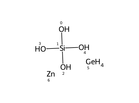 O[Si](O)(O)O.[GeH4].[Zn]